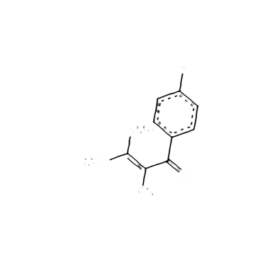 CSC(SC)=C(C#N)C(=O)c1ccc(F)cc1